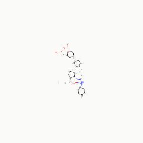 CCOc1ccc(-c2ccc(CCCc3nn(-c4ccc(C)cc4)c(=O)n3-c3ccccc3CC)cc2)cc1CC(=O)O